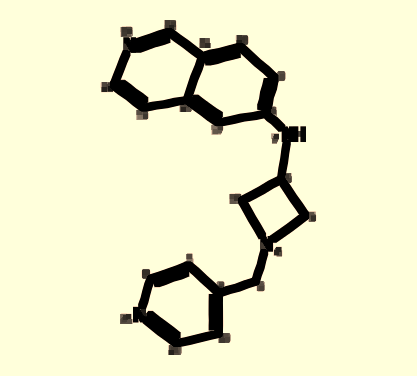 c1cc(CN2CC(Nc3ccc4cnccc4c3)C2)ccn1